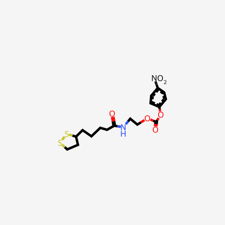 O=C(CCCCC1CCSS1)NCCOC(=O)Oc1ccc([N+](=O)[O-])cc1